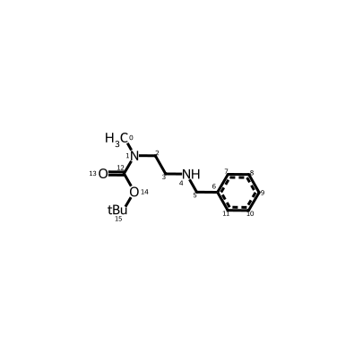 CN(CCNCc1ccccc1)C(=O)OC(C)(C)C